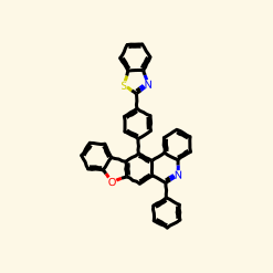 c1ccc(-c2nc3ccccc3c3c(-c4ccc(-c5nc6ccccc6s5)cc4)c4c(cc23)oc2ccccc24)cc1